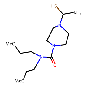 COCCN(CCOC)C(=O)N1CCN(C(C)S)CC1